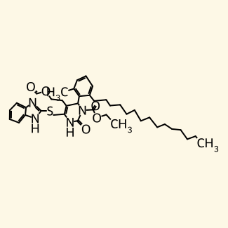 CCCCCCCCCCCCCCCc1cccc(C)c1C1C(CCOC=O)=C(CSc2nc3ccccc3[nH]2)NC(=O)N1C(=O)OCC